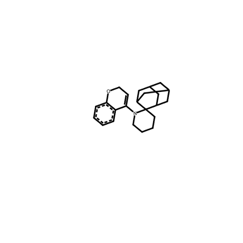 C1=C(N2CCCCC23C2CC4CC(C2)CC3C4)c2ccccc2OC1